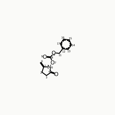 C=C1CCC(=O)N1OC(=O)OCc1ccccc1